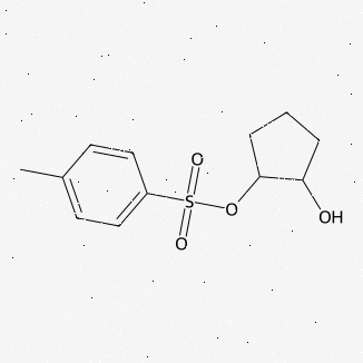 Cc1ccc(S(=O)(=O)OC2CCCC2O)cc1